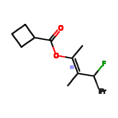 C/C(OC(=O)C1CCC1)=C(/C)C(F)C(C)C